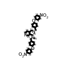 CN(Cc1ccc(Oc2ccc([N+](=O)[O-])cc2)cc1)Cc1ccncc1CN(C)Cc1ccc(Oc2ccc([N+](=O)[O-])cc2)cc1